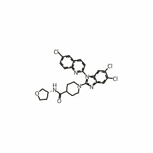 O=C(N[C@@H]1CCOC1)C1CCN(c2nc3cc(Cl)c(Cl)cc3n2-c2ccc3cc(Cl)ccc3n2)CC1